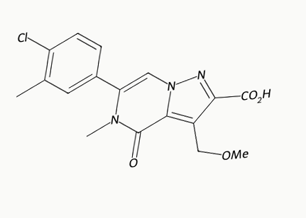 COCc1c(C(=O)O)nn2cc(-c3ccc(Cl)c(C)c3)n(C)c(=O)c12